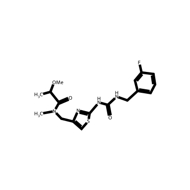 COC(C)C(=O)N(C)Cc1csc(NC(=O)NCc2cccc(F)c2)n1